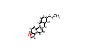 CCCc1ccc2cc3c(ccc4c5ccoc5ccc34)cc2c1